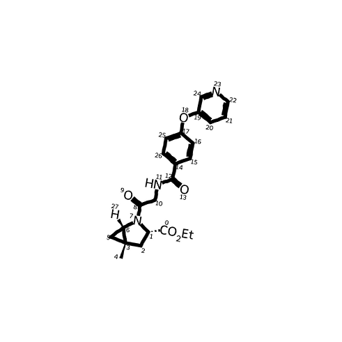 CCOC(=O)[C@@H]1C[C@]2(C)C[C@@H]2N1C(=O)CNC(=O)c1ccc(Oc2cccnc2)cc1